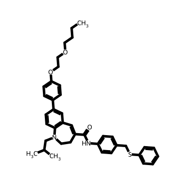 CCCCOCCOc1ccc(-c2ccc3c(c2)C=C(C(=O)Nc2ccc(CSc4ccccc4)cc2)CCN3CC(C)C)cc1